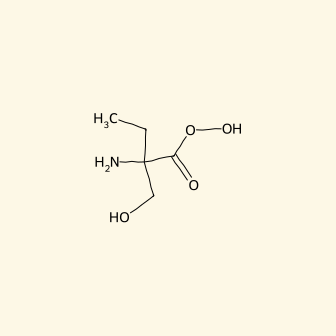 CCC(N)(CO)C(=O)OO